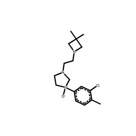 Cc1ccc([N+]2([O-])CCN(CCN3CC(C)(C)C3)C2)cc1Cl